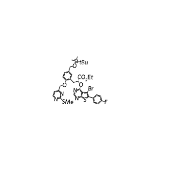 CCOC(=O)[C@@H](Cc1cc(CO[Si](C)(C)C(C)(C)C)ccc1OCc1ccnc(SC)n1)Oc1ncnc2sc(-c3ccc(F)cc3)c(Br)c12